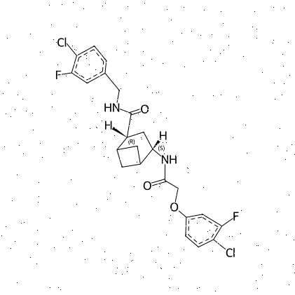 O=C(COc1ccc(Cl)c(F)c1)N[C@H]1C[C@@H](C(=O)NCc2ccc(Cl)c(F)c2)C2CC1C2